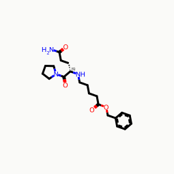 NC(=O)CC[C@H](NCCCCC(=O)OCc1ccccc1)C(=O)N1CCCC1